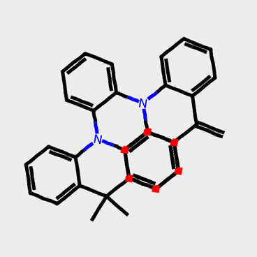 C=C1c2ccccc2N(c2ccccc2N2c3ccccc3C(C)(C)c3ccccc32)c2ccccc21